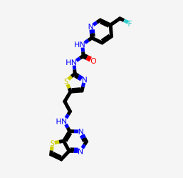 O=C(Nc1ccc(CF)cn1)Nc1ncc(CCNc2ncnc3ccsc23)s1